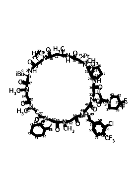 CC[C@H](C)[C@@H]1NC(=O)[C@H](CC(C)C)N(C)C(=O)C[C@@H](C)NC(=O)[C@H](C(C)C)N(C)C(=O)C2(CCCC2)NC(=O)[C@H](CC(=O)N2CCC(F)(F)CC2)N(C)C(=O)[C@H](CCc2ccc(C(F)(F)F)c(Cl)c2)NC(=O)CN(C)C(=O)[C@H](CC2CCCCC2)N(C)C(=O)CN(C)C(=O)CN(C)C1=O